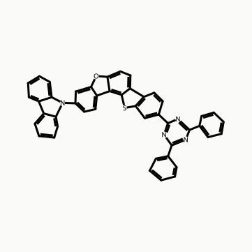 c1ccc(-c2nc(-c3ccccc3)nc(-c3ccc4c(c3)sc3c4ccc4oc5cc(-n6c7ccccc7c7ccccc76)ccc5c43)n2)cc1